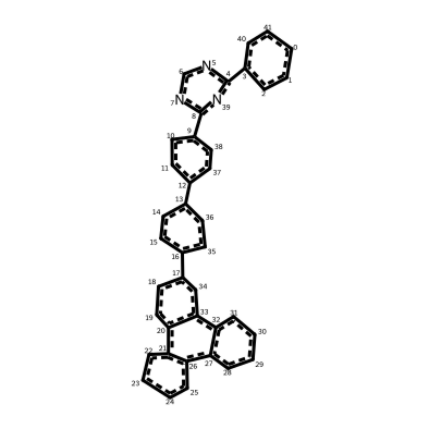 c1ccc(-c2ncnc(-c3ccc(-c4ccc(-c5ccc6c7ccccc7c7ccccc7c6c5)cc4)cc3)n2)cc1